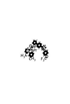 CCCc1ccc(C)cc1N1/C(=N/C(=O)NC2CCCC2c2ccc(-c3ncn(-c4ccc(OC(F)(F)F)cc4)n3)cc2)SCCC1C